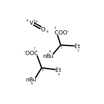 CCCCC(CC)C(=O)[O-].CCCCC(CC)C(=O)[O-].[O]=[V+2]